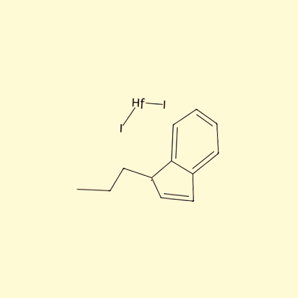 CCC[C]1C=Cc2ccccc21.[I][Hf][I]